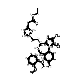 CCOC(=O)Cc1nnn(CC[C@@H]2S[C@@H](c3cccc(OC)c3OC)c3cc(Cl)ccc3-n3c2nc(Cl)c3Cl)n1